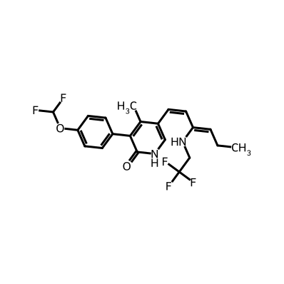 CC/C=C(/C=C\c1c[nH]c(=O)c(-c2ccc(OC(F)F)cc2)c1C)NCC(F)(F)F